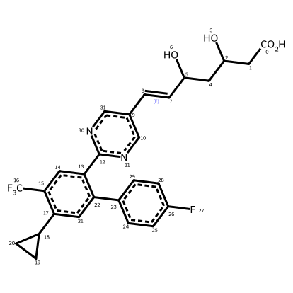 O=C(O)CC(O)CC(O)/C=C/c1cnc(-c2cc(C(F)(F)F)c(C3CC3)cc2-c2ccc(F)cc2)nc1